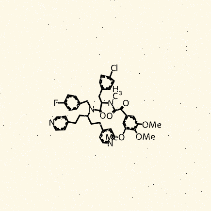 COc1cc(C(=O)C(=O)N(C)C(Cc2ccc(Cl)cc2)C(=O)N(Cc2ccc(F)cc2)C(CCc2ccncc2)CCc2ccncc2)cc(OC)c1OC